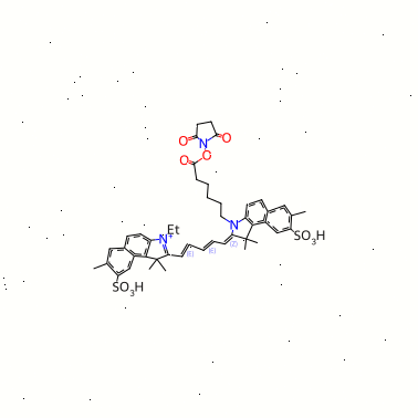 CC[N+]1=C(/C=C/C=C/C=C2\N(CCCCCC(=O)ON3C(=O)CCC3=O)c3ccc4cc(C)c(S(=O)(=O)O)cc4c3C2(C)C)C(C)(C)c2c1ccc1cc(C)c(S(=O)(=O)O)cc21